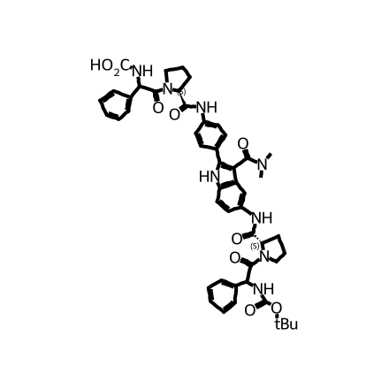 CN(C)C(=O)c1c(-c2ccc(NC(=O)[C@@H]3CCCN3C(=O)C(NC(=O)O)c3ccccc3)cc2)[nH]c2ccc(NC(=O)[C@@H]3CCCN3C(=O)C(NC(=O)OC(C)(C)C)c3ccccc3)cc12